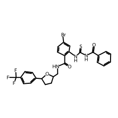 O=C(NC(=S)Nc1cc(Br)ccc1C(=O)NCC1CCC(c2ccc(C(F)(F)F)cc2)O1)c1ccccc1